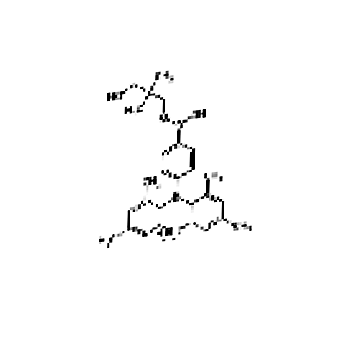 Cc1cc(C)c(B(c2ccc(B(O)OCC(C)(C)CO)cc2)c2c(C)cc(C)cc2C)c(C)c1